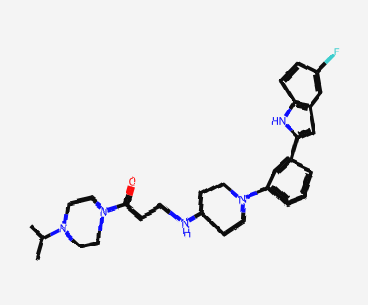 CC(C)N1CCN(C(=O)CCNC2CCN(c3cccc(-c4cc5cc(F)ccc5[nH]4)c3)CC2)CC1